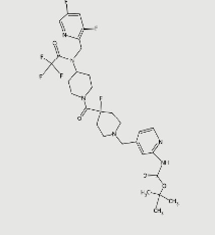 CC(C)(C)OC(=O)Nc1cc(CN2CCC(F)(C(=O)N3CCC(N(Cc4ncc(F)cc4F)C(=O)C(F)(F)F)CC3)CC2)ccn1